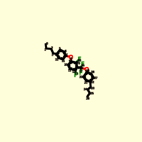 CCCCc1ccc(Oc2[c]cc(F)c(C(F)(F)Oc3ccc(CCCC)cc3)c2F)cc1